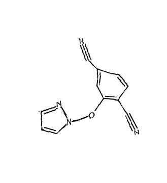 N#Cc1ccc(C#N)c(On2cc[c]n2)c1